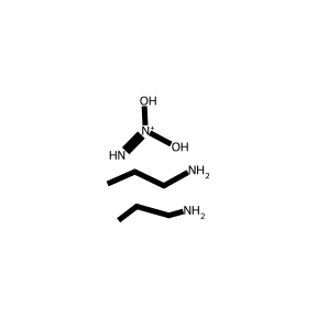 CCCN.CCCN.N=[N+](O)O